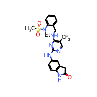 CCN(c1ccccc1CNc1nc(Nc2ccc3c(c2)CC(=O)N3)ncc1C(F)(F)F)S(C)(=O)=O